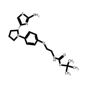 CC(C)(C)OC(=O)NCCOc1ccc(N2CCC[C@@H]2c2csc(N)n2)cc1